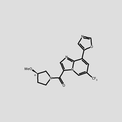 CO[C@@H]1CCN(C(=O)c2cnc3c(-c4cnco4)cc(C(F)(F)F)cn23)C1